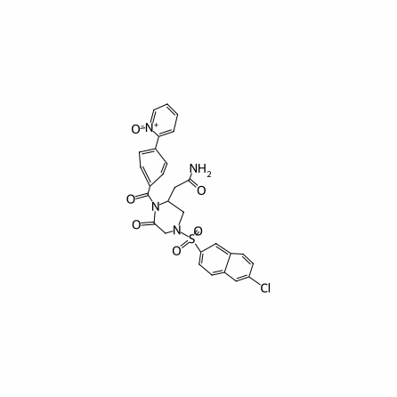 NC(=O)CC1CN(S(=O)(=O)c2ccc3cc(Cl)ccc3c2)CC(=O)N1C(=O)c1ccc(-c2cccc[n+]2[O-])cc1